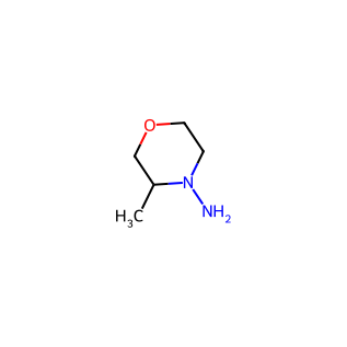 CC1COCCN1N